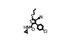 CCCSc1sc(C(=O)NC2CC2)c(-c2ccc(Cl)cc2)c1C#N